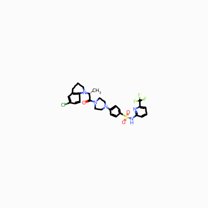 C[C@H](C(=O)N1CCN(c2ccc(S(=O)(=O)Nc3cccc(C(F)(F)F)n3)cc2)CC1)N1CCCc2cc(Cl)ccc21